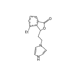 CCc1cccc2c1C(CCN1C=CNC=C1)OC2=O